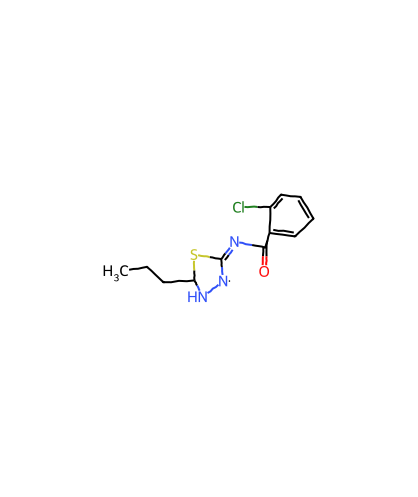 CCCC1N[N]C(=NC(=O)c2ccccc2Cl)S1